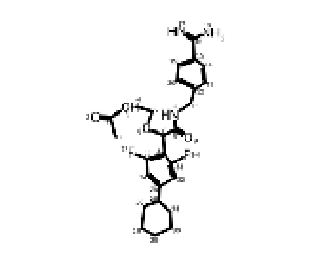 CC(=O)O.CCOC(C(=O)NCc1ccc(C(=N)N)cc1)c1c(F)cc(C2CCCCC2)cc1F